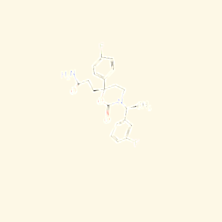 C[C@@H](c1cccc(F)c1)N1CC[C@@](CCC(N)=O)(c2ccc(F)cc2)OC1=O